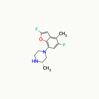 Cc1c(F)cc(N2CCN[C@@H](C)C2)c2oc(F)cc12